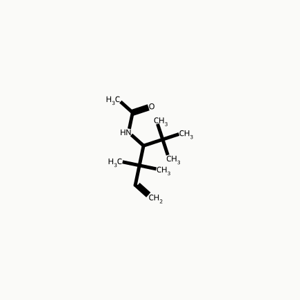 C=CC(C)(C)C(NC(C)=O)C(C)(C)C